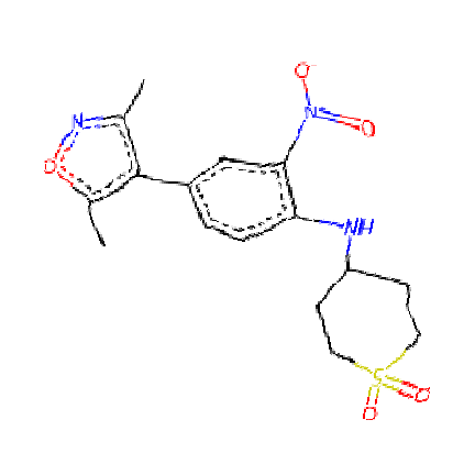 Cc1noc(C)c1-c1ccc(NC2CCS(=O)(=O)CC2)c([N+](=O)[O-])c1